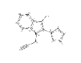 C#CCn1c(-n2ccnc2)c(C)c2ccccc21